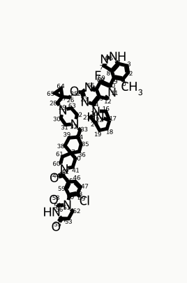 Cc1ccc2[nH]ncc2c1-c1ncc2c(N3CC4CCC(C3)N4)nc(OCC3(CN4CCN(CC5CCC6(CC5)CCN(C(=O)c5ccc(Cl)c(N7CCC(=O)NC7=O)c5)CC6)CC4)CC3)nc2c1F